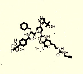 C#CCNC(=O)NCCCCC(NC(=O)[C@@H]1C[C@H](n2nncc2C(C)(C)O)CN1C(=O)[C@@H](CC1CCCCC1)NC(=O)c1ccc(C(O)(O)C(F)(F)F)cc1)C(=O)C(N)=O